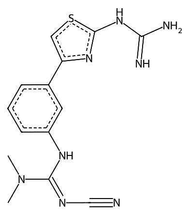 CN(C)/C(=N/C#N)Nc1cccc(-c2csc(NC(=N)N)n2)c1